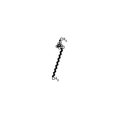 CCCCCCCCCCCCCCCCCC(=O)OS(=O)(=O)OOCC